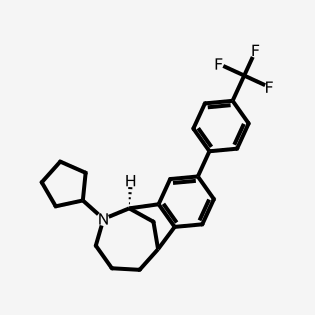 FC(F)(F)c1ccc(-c2ccc3c(c2)[C@H]2CC3CCCN2C2CCCC2)cc1